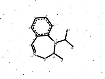 CC(C)N1c2ccccc2C=NCC1C